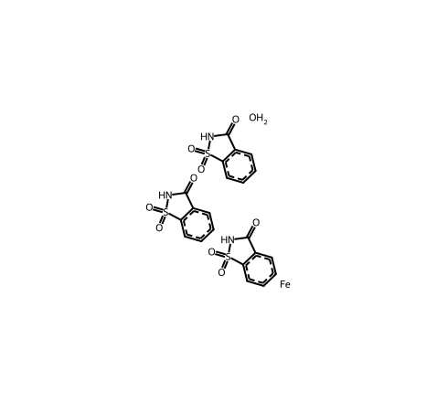 O.O=C1NS(=O)(=O)c2ccccc21.O=C1NS(=O)(=O)c2ccccc21.O=C1NS(=O)(=O)c2ccccc21.[Fe]